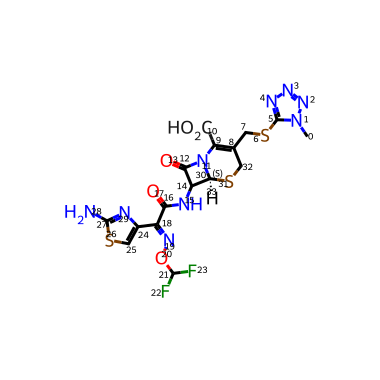 Cn1nnnc1SCC1=C(C(=O)O)N2C(=O)C(NC(=O)C(=NOC(F)F)c3csc(N)n3)[C@@H]2SC1